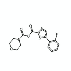 O=C(OC(=O)N1CCOCC1)c1ncc(-c2ccccc2F)s1